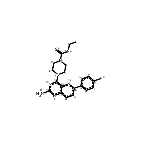 CCNC(=S)N1CCN(c2nc(N)nc3ccc(-c4ccc(F)cc4)nc23)CC1